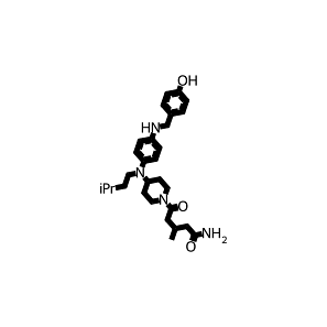 CC(C)CCN(c1ccc(NCc2ccc(O)cc2)cc1)C1CCN(C(=O)CC(C)CC(N)=O)CC1